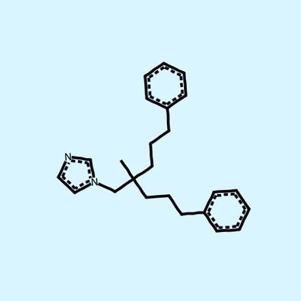 CC(CCCc1ccccc1)(CCCc1ccccc1)Cn1ccnc1